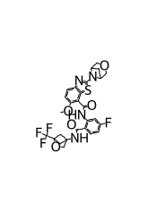 COc1ccc2nc(N3C4COCC3C4)sc2c1C(=O)Nc1cc(F)ccc1C(=O)NC12COC(C(F)(F)F)(C1)C2